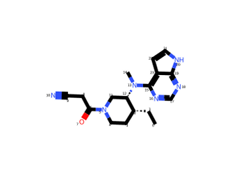 CC[C@@H]1CCN(C(=O)CC#N)C[C@@H]1N(C)c1ncnc2[nH]ccc12